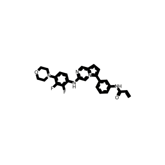 C=CC(=O)Nc1cccc(-c2ccc3cnc(Nc4ccc(N5CCOCC5)c(F)c4F)cn23)c1